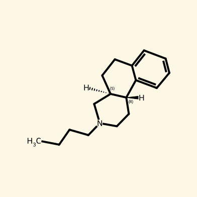 CCCCN1CC[C@H]2c3ccccc3CC[C@@H]2C1